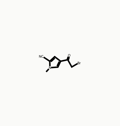 Cn1cc(C(=O)CBr)cc1C#N